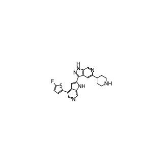 Fc1ccc(-c2cncc3[nH]c(-c4n[nH]c5cnc(C6CCNCC6)cc45)cc23)s1